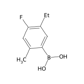 CCc1cc(B(O)O)c(C)cc1F